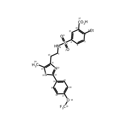 CCc1ccc(S(=O)(=O)NCCc2nc(-c3ccc(OC(F)(F)F)cc3)sc2C)cc1C(=O)O